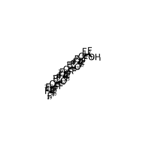 OC(F)C(F)(F)OC(F)(F)C(F)(F)OC(F)(F)C(F)(F)OC(F)(F)C(F)(F)OC(F)(F)C(F)(F)OC(F)(F)C(F)(F)F